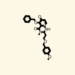 COc1ccc(COCCC2Nn3ccc(=O)c(OCc4ccccc4)c3C(=O)N2C)cc1